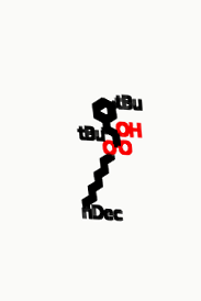 CCCCCCCCCCCCCCCCCCOC(=O)C(O)C(c1cccc(C(C)(C)C)c1)C(C)(C)C